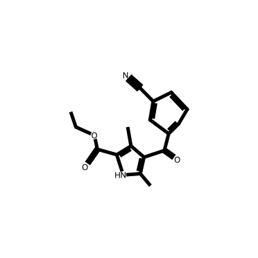 CCOC(=O)c1[nH]c(C)c(C(=O)c2cccc(C#N)c2)c1C